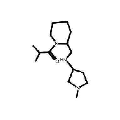 CC(C)C(=O)N1CCCCC1CNC1CCN(C)C1